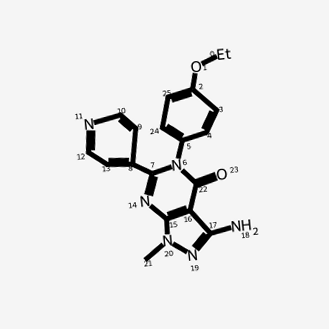 CCOc1ccc(-n2c(-c3ccncc3)nc3c(c(N)nn3C)c2=O)cc1